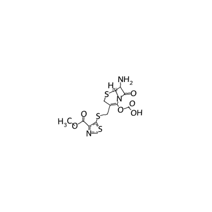 COC(=O)c1ncsc1SCC1=C(OC(=O)O)N2C(=O)C(N)[C@@H]2SC1